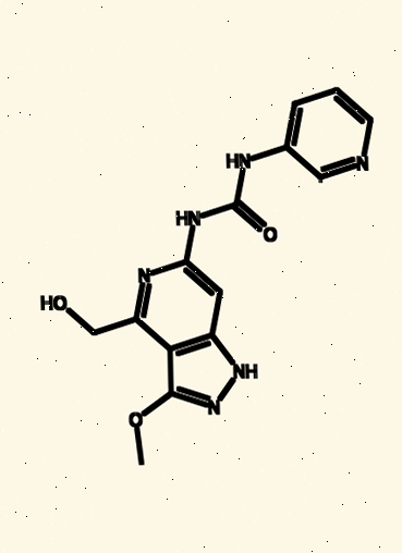 COc1n[nH]c2cc(NC(=O)Nc3[c]nccc3)nc(CO)c12